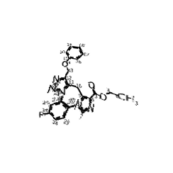 CCOC(=O)c1ncn2c1Cc1c(COc3ccccc3)nnn1-c1cc(F)ccc1-2